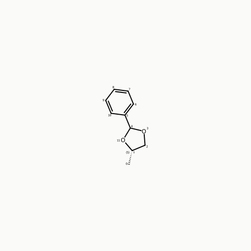 C[C@H]1COC(c2ccccc2)O1